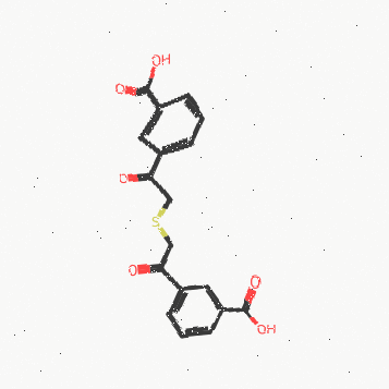 O=C(O)c1cccc(C(=O)CSCC(=O)c2cccc(C(=O)O)c2)c1